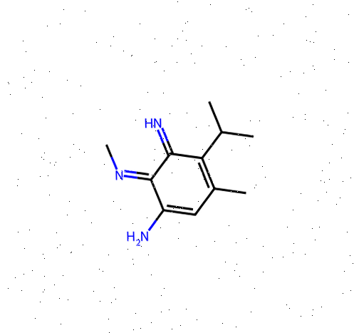 C/N=C1\C(=N)C(C(C)C)=C(C)C=C1N